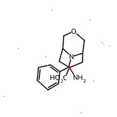 NC1(C(=O)O)CC2COCC(C1)N2Cc1ccccc1